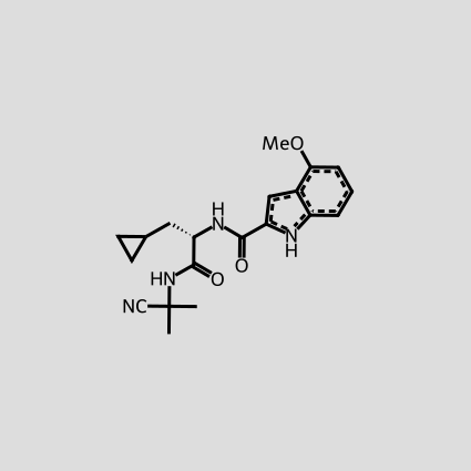 COc1cccc2[nH]c(C(=O)N[C@@H](CC3CC3)C(=O)NC(C)(C)C#N)cc12